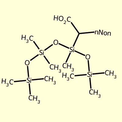 CCCCCCCCCC(C(=O)O)[Si](C)(O[Si](C)(C)C)O[Si](C)(C)O[Si](C)(C)C